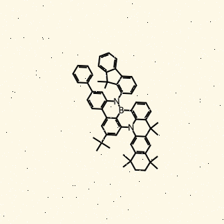 CC(C)(C)c1cc2c3c(c1)N1c4cc5c(cc4C(C)(C)c4cccc(c41)B3N(c1cccc3c1C(C)(C)c1ccccc1-3)c1cc(-c3ccccc3)ccc1-2)C(C)(C)CCC5(C)C